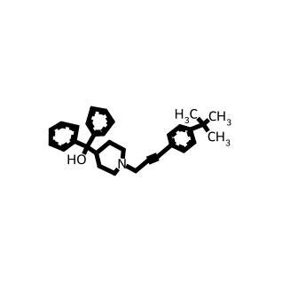 CC(C)(C)c1ccc(C#CCN2CCC(C(O)(c3ccccc3)c3ccccc3)CC2)cc1